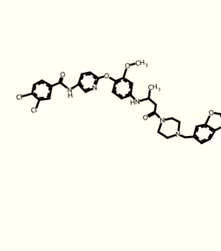 COc1cc(NC(C)CC(=O)N2CCN(Cc3ccc4c(c3)OCO4)CC2)ccc1Oc1ccc(NC(=O)c2ccc(Cl)c(Cl)c2)cn1